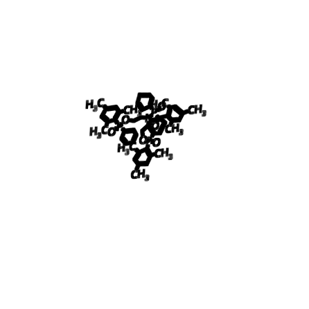 Cc1cc(C)c(C(=O)P(=O)(c2ccccc2)N(CCOP(=O)(c2ccccc2)c2c(C)cc(C)cc2C)CCOP(=O)(c2ccccc2)c2c(C)cc(C)cc2C)c(C)c1